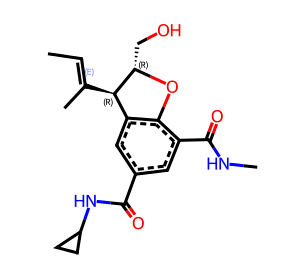 C/C=C(\C)[C@@H]1c2cc(C(=O)NC3CC3)cc(C(=O)NC)c2O[C@H]1CO